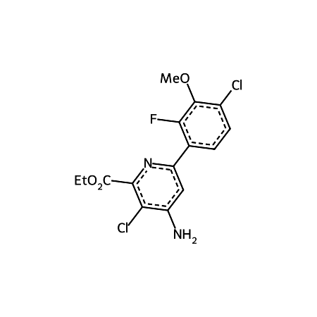 CCOC(=O)c1nc(-c2ccc(Cl)c(OC)c2F)cc(N)c1Cl